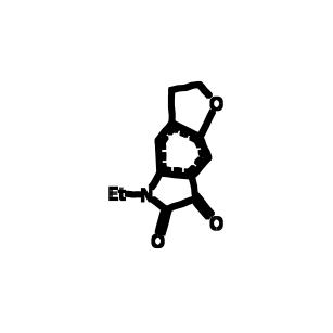 CCN1C(=O)C(=O)c2cc3c(cc21)CCO3